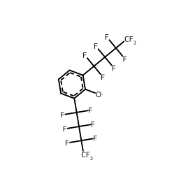 [O]c1c(C(F)(F)C(F)(F)C(F)(F)C(F)(F)F)cccc1C(F)(F)C(F)(F)C(F)(F)C(F)(F)F